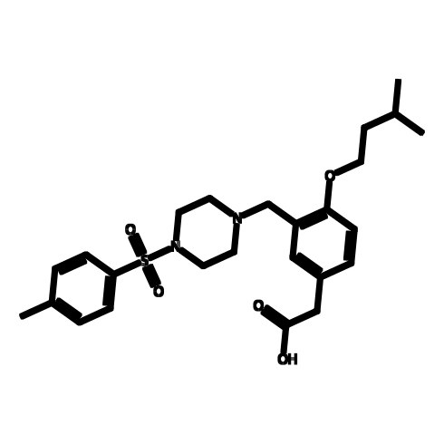 Cc1ccc(S(=O)(=O)N2CCN(Cc3cc(CC(=O)O)ccc3OCCC(C)C)CC2)cc1